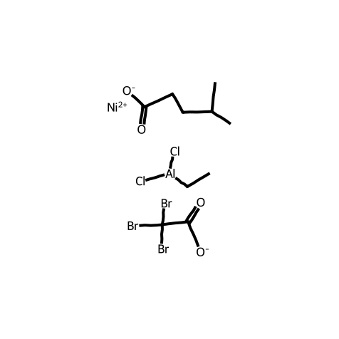 CC(C)CCC(=O)[O-].C[CH2][Al]([Cl])[Cl].O=C([O-])C(Br)(Br)Br.[Ni+2]